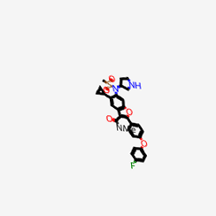 CNC(=O)c1c(-c2ccc(Oc3ccc(F)cc3)cc2)oc2cc(N(C3CCNC3)S(C)(=O)=O)c(C3CC3)cc12